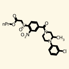 CCCOC(=O)C[S+]([O-])c1ccc(C(=O)N2CCN(c3cccc(Cl)c3)C(C)C2)cc1[N+](=O)[O-]